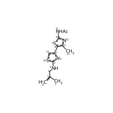 C=C(C)CNc1nc(-c2sc(NC(C)=O)nc2C)cs1